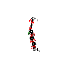 C=CC(=O)OCCCCOc1ccc(C(=O)Oc2ccc(S(=O)(=O)c3ccc(OC(C)=O)cc3)cc2)c(F)c1